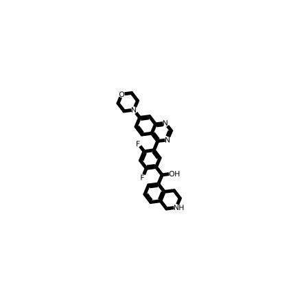 OC(c1cc(-c2ncnc3cc(N4CCOCC4)ccc23)c(F)cc1F)c1cccc2c1CCNC2